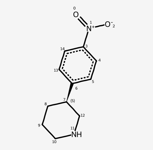 O=[N+]([O-])c1ccc([C@@H]2CCCNC2)cc1